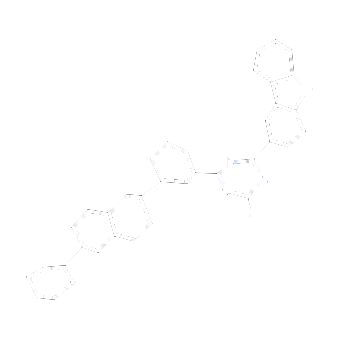 Clc1nc(-c2cccc(-c3ccc4cc(-c5ccccc5)ccc4c3)c2)nc(-c2ccc3oc4ccccc4c3c2)n1